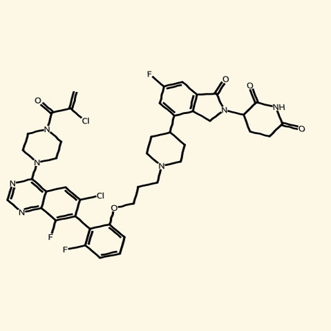 C=C(Cl)C(=O)N1CCN(c2ncnc3c(F)c(-c4c(F)cccc4OCCCN4CCC(c5cc(F)cc6c5CN(C5CCC(=O)NC5=O)C6=O)CC4)c(Cl)cc23)CC1